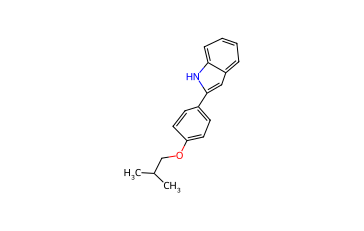 CC(C)COc1ccc(-c2cc3ccccc3[nH]2)cc1